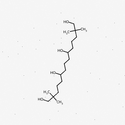 CC(C)(CO)CCCC(O)CCCC(O)CCCC(C)(C)CO